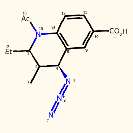 CCC1C(C)[C@H](N=[N+]=[N-])c2cc(C(=O)O)ccc2N1C(C)=O